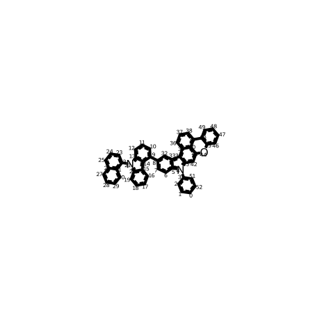 c1ccc(-n2c3ccc(-c4cccc5c4c4ccccc4n5-c4cccc5ccccc45)cc3c3c4cccc5c4c(cc32)Oc2ccccc2-5)cc1